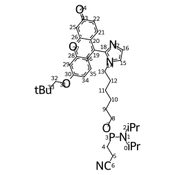 CC(C)N(C(C)C)P(CCC#N)OCCCCCCn1ccnc1-c1c2ccc(=O)cc-2oc2cc(OCC(C)(C)C)ccc12